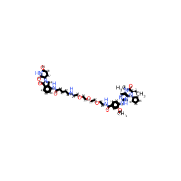 CC[C@@H]1C(=O)N(C)c2cnc(Nc3ccc(C(=O)NCCOCCOCCOCCNCCCCC(=O)Nc4cccc5c4CN(C4CCC(=O)NC4=O)C5=O)cc3OC)nc2N1C1CCCC1